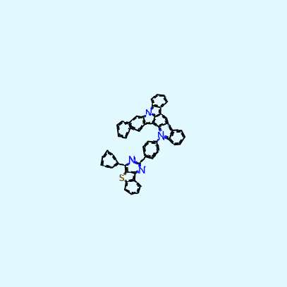 c1ccc(-c2nc(-c3ccc(-n4c5ccccc5c5cc6c7ccccc7n7c8cc9ccccc9cc8c(c54)c67)cc3)nc3c2sc2ccccc23)cc1